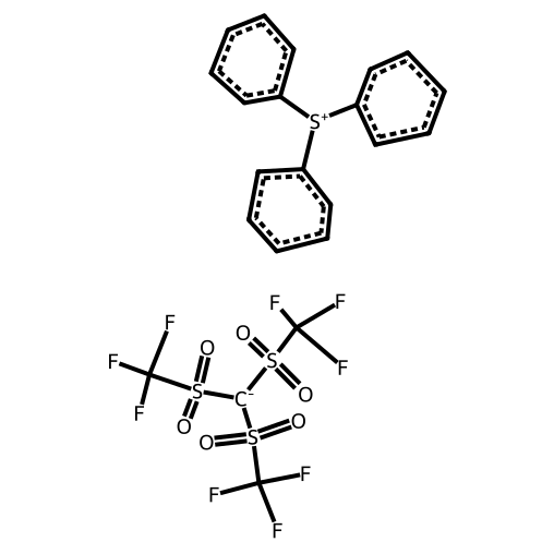 O=S(=O)([C-](S(=O)(=O)C(F)(F)F)S(=O)(=O)C(F)(F)F)C(F)(F)F.c1ccc([S+](c2ccccc2)c2ccccc2)cc1